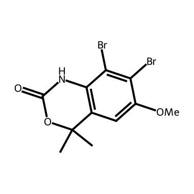 COc1cc2c(c(Br)c1Br)NC(=O)OC2(C)C